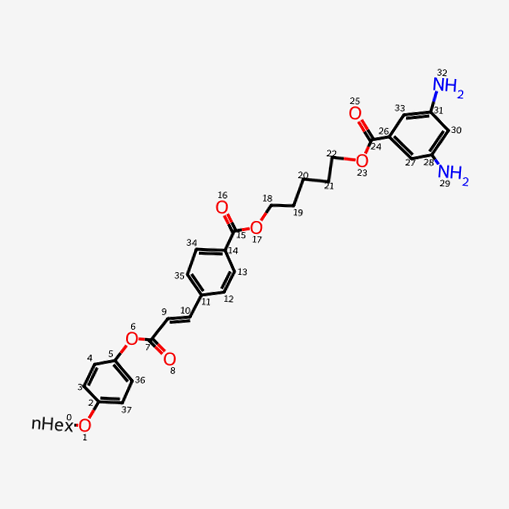 CCCCCCOc1ccc(OC(=O)/C=C/c2ccc(C(=O)OCCCCCOC(=O)c3cc(N)cc(N)c3)cc2)cc1